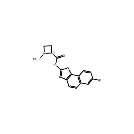 O=C(Nc1nc2ccc3cc(F)ccc3c2s1)[C@@H]1CCN1C(=O)O